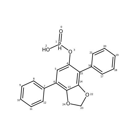 O=[PH](O)Oc1cc(-c2ccccc2)c2c(c1-c1ccccc1)OCO2